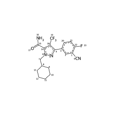 N#Cc1cc(-c2nn(CC3CCCCC3)c(C(N)=O)c2C(F)(F)F)ccc1F